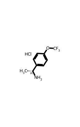 C[C@@H](N)c1ccc(OC(F)(F)F)cc1.Cl